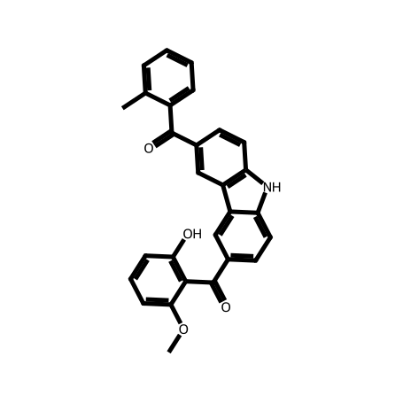 COc1cccc(O)c1C(=O)c1ccc2[nH]c3ccc(C(=O)c4ccccc4C)cc3c2c1